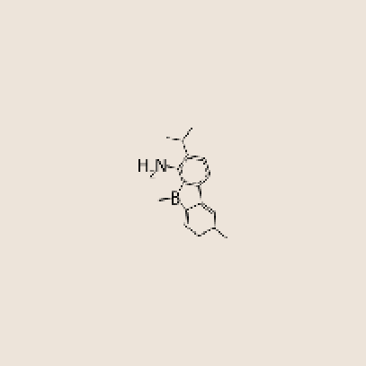 CB1C2=CCC(C)C=C2c2ccc(C(C)C)c(N)c21